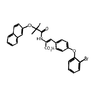 CC(C)(Oc1ccc2ccccc2c1)C(=O)NC(=Cc1ccc(Oc2ccccc2Br)cc1)C(=O)O